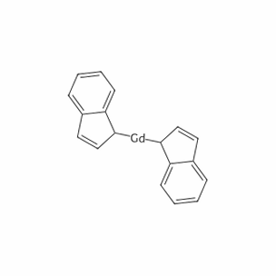 C1=C[CH]([Gd][CH]2C=Cc3ccccc32)c2ccccc21